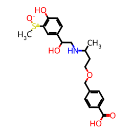 CC(CCOCc1ccc(C(=O)O)cc1)NCC(O)c1ccc(O)c([S+](C)[O-])c1